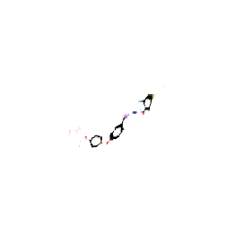 O=C(NCCNC(=O)c1ccc(F)cc1C(F)(F)F)c1ccc(O[C@H]2CC[C@@H](C(=O)O)CC2)cc1